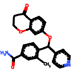 Cc1cc(C(N)=O)ccc1C(Oc1ccc2c(c1)OCCC2=O)c1ccncc1